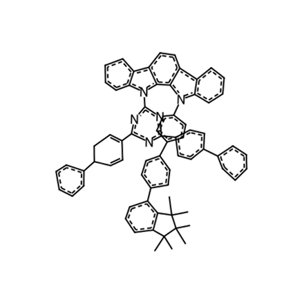 CC1(C)c2cccc(-c3ccc(-c4ccc(-n5c6ccccc6c6ccc7c8ccccc8n(-c8nc(C9=CCC(c%10ccccc%10)C=C9)nc(-c9ccc(-c%10ccccc%10)cc9)n8)c7c65)cc4)cc3)c2C(C)(C)C1(C)C